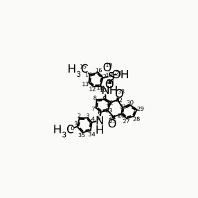 Cc1ccc(Nc2ccc(Nc3ccc(C)cc3S(=O)(=O)O)c3c2C(=O)c2ccccc2C3=O)cc1